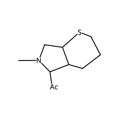 CC(=O)C1C2CCCSC2CN1C